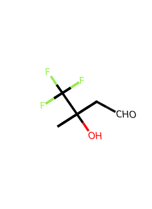 CC(O)(CC=O)C(F)(F)F